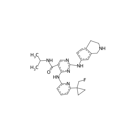 CC(C)NC(=O)c1cnc(Nc2ccc3c(c2)CNCC3)nc1Nc1cccc(C2(CF)CC2)n1